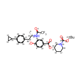 C[C@H](NC(=O)C(F)(F)F)[C@H](Oc1ccc(C(=O)O[C@H]2CCCN(C(=O)OC(C)(C)C)C2)cc1)c1ccc(C2CC2)cc1